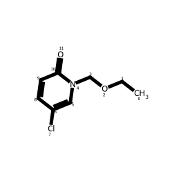 CCOCn1[c]c(Cl)ccc1=O